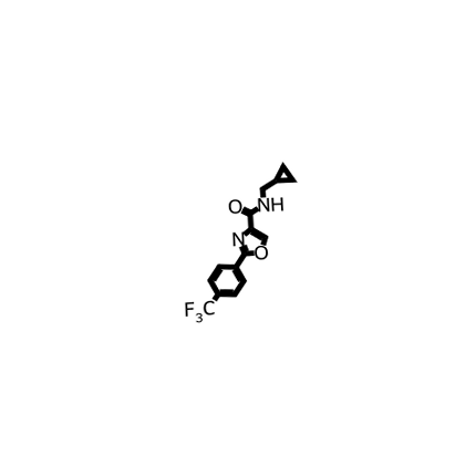 O=C(NCC1CC1)c1coc(-c2ccc(C(F)(F)F)cc2)n1